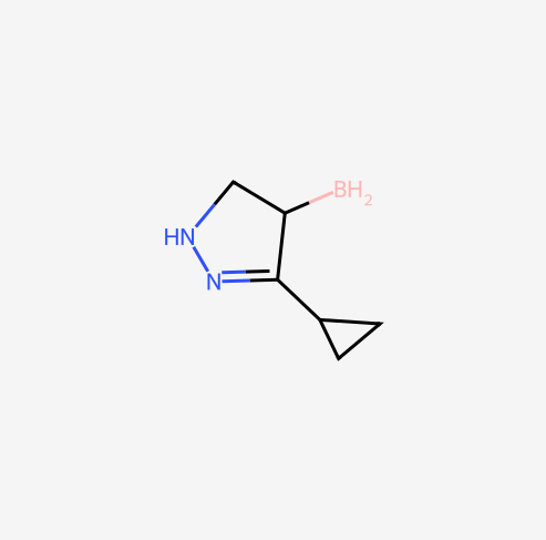 BC1CNN=C1C1CC1